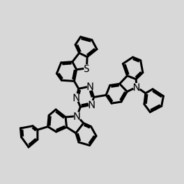 c1ccc(-c2ccc3c(c2)c2ccccc2n3-c2nc(-c3ccc4c(c3)c3ccccc3n4-c3ccccc3)nc(-c3cccc4c3sc3ccccc34)n2)cc1